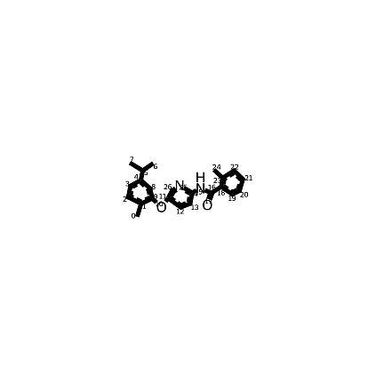 Cc1ccc(C(C)C)cc1Oc1ccc(NC(=O)c2ccccc2C)nc1